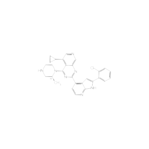 C[C@H]1CNCCN1c1nc(-c2ccnc3[nH]c(-c4ccccc4Cl)cc23)nc2cncc(C3CC3)c12